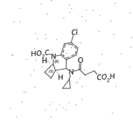 O=C(O)CCC(=O)N(C1CC1)C1c2ccc(Cl)cc2N(C(=O)O)[C@@H]2CC[C@H]12